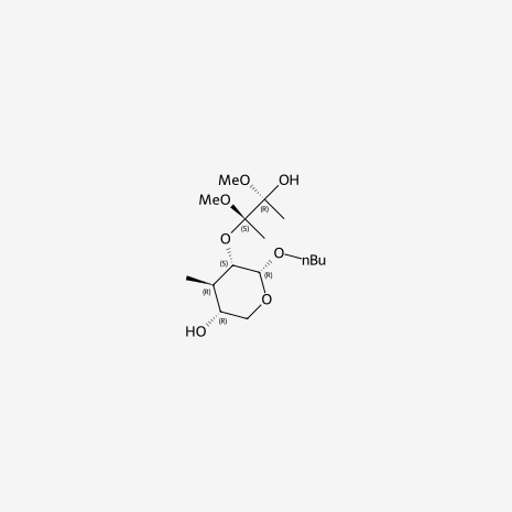 CCCCO[C@@H]1OC[C@H](O)[C@@H](C)[C@@H]1O[C@](C)(OC)[C@](C)(O)OC